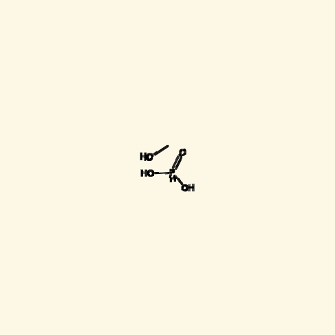 CO.O=[PH](O)O